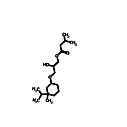 CC(C)CC(=O)OCC(O)COC1CCCC(C)(C(C)C)C1